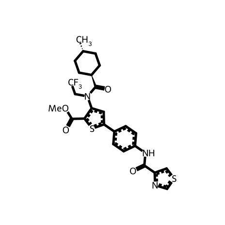 COC(=O)c1sc(-c2ccc(NC(=O)c3cscn3)cc2)cc1N(CC(F)(F)F)C(=O)[C@H]1CC[C@H](C)CC1